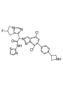 O=C(Nc1nccs1)C(c1ncn2c1CC(F)C2)n1cc2c(Cl)cc(-c3ccc(C4CNC4)cc3)c(Cl)c2n1